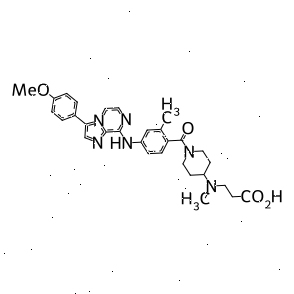 COc1ccc(-c2cnc3c(Nc4ccc(C(=O)N5CCC(N(C)CCC(=O)O)CC5)c(C)c4)nccn23)cc1